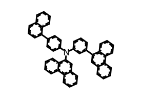 c1cc(-c2cc3ccccc3c3ccccc23)cc(N(c2ccc(-c3cccc4ccccc34)cc2)c2cc3ccccc3c3ccccc23)c1